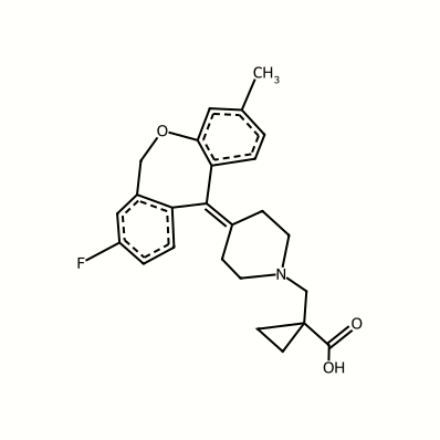 Cc1ccc2c(c1)OCc1cc(F)ccc1C2=C1CCN(CC2(C(=O)O)CC2)CC1